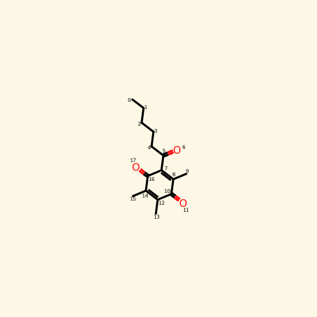 CCCCCC(=O)C1=C(C)C(=O)C(C)=C(C)C1=O